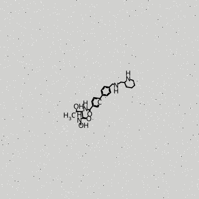 C[C@@H](O)[C@H](NC(=O)c1ccc(-c2ccc(CNCC3CCCCN3)cc2)cc1)C(=O)NO